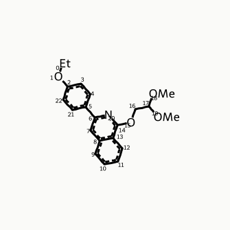 CCOc1ccc(-c2cc3ccccc3c(OCC(OC)OC)n2)cc1